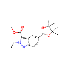 CCn1nc2ccc(B3OC(C)(C)C(C)(C)O3)cc2c1C(=O)OC